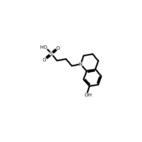 O=S(=O)(O)CCCN1CCCc2ccc(O)cc21